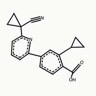 N#CC1(c2cccc(-c3ccc(C(=O)O)c(C4CC4)c3)n2)CC1